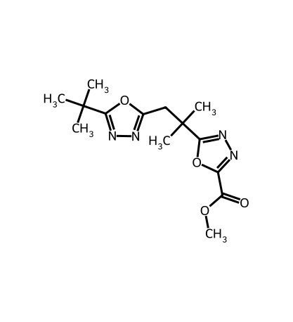 COC(=O)c1nnc(C(C)(C)Cc2nnc(C(C)(C)C)o2)o1